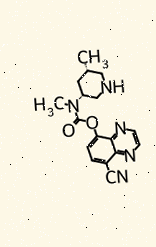 C[C@@H]1CNC[C@H](N(C)C(=O)Oc2ccc(C#N)c3nccnc23)C1